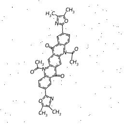 CC(=O)n1c2ccc(-c3nc(C)c(C)o3)cc2c(=O)c2cc3c(cc21)c(=O)c1cc(-c2nc(C)c(C)o2)ccc1n3C(C)=O